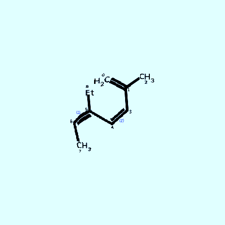 C=C(C)/C=C\C(=C/C)CC